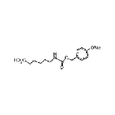 COc1ccc(COC(=O)NCCCCCC(=O)O)cc1